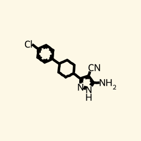 N#Cc1c(C2CCC(c3ccc(Cl)cc3)CC2)n[nH]c1N